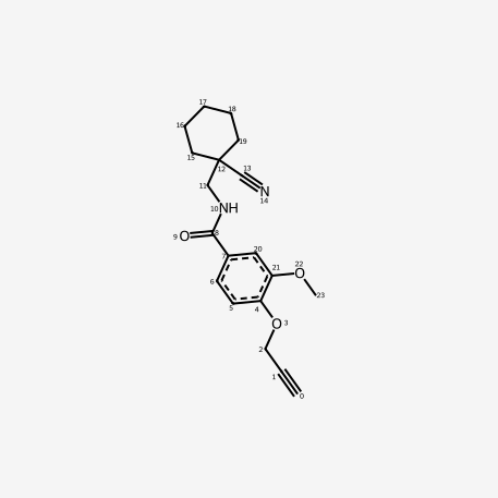 C#CCOc1ccc(C(=O)NCC2(C#N)CCCCC2)cc1OC